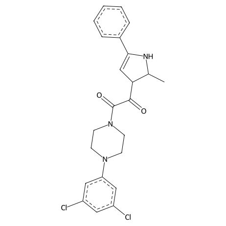 CC1NC(c2ccccc2)=CC1C(=O)C(=O)N1CCN(c2cc(Cl)cc(Cl)c2)CC1